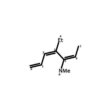 C=C/C=C(CC)\C(=C/C)NC